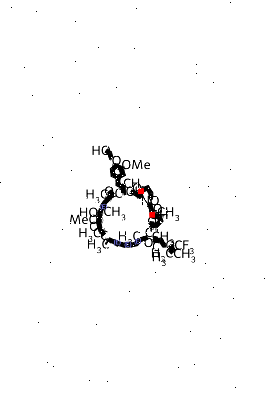 CO[C@@H]1CC(C[C@@H](C)C2CC(=O)[C@H](C)/C=C(\C)[C@@H](O)[C@@H](OC)C(=O)[C@H](C)C[C@H](C)/C=C/C=C/C=C(\C)C(OC(C)(C)CCOC(C)(C)C(F)(F)F)C[C@@H]3CC[C@@H](C)[C@@](O)(O3)C(=O)C(=O)N3CCCC[C@H]3C(=O)O2)CC[C@H]1OCCO